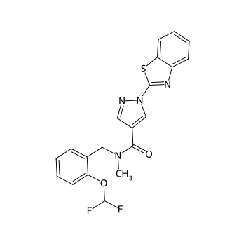 CN(Cc1ccccc1OC(F)F)C(=O)c1cnn(-c2nc3ccccc3s2)c1